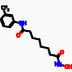 O=C(CCCCCCC(=O)Nc1cccc(C(F)(F)F)c1)NO